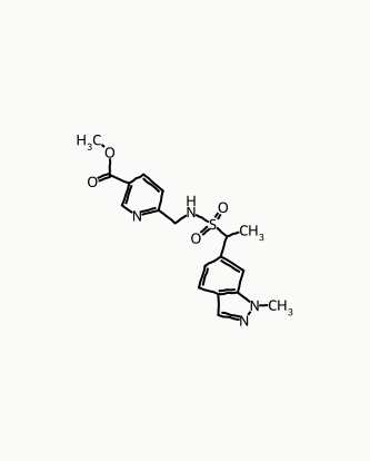 COC(=O)c1ccc(CNS(=O)(=O)C(C)c2ccc3cnn(C)c3c2)nc1